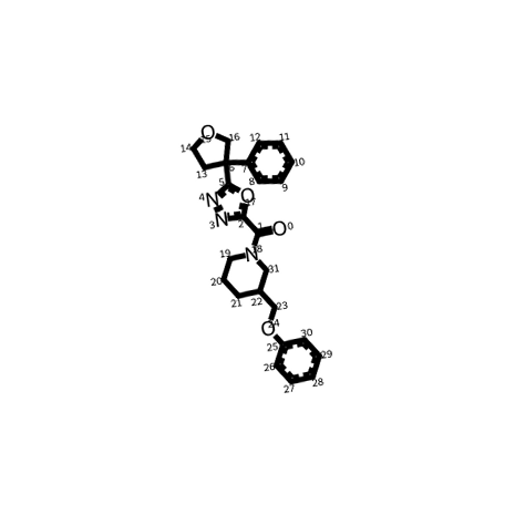 O=C(c1nnc(C2(c3ccccc3)CCOC2)o1)N1CCCC(COc2ccccc2)C1